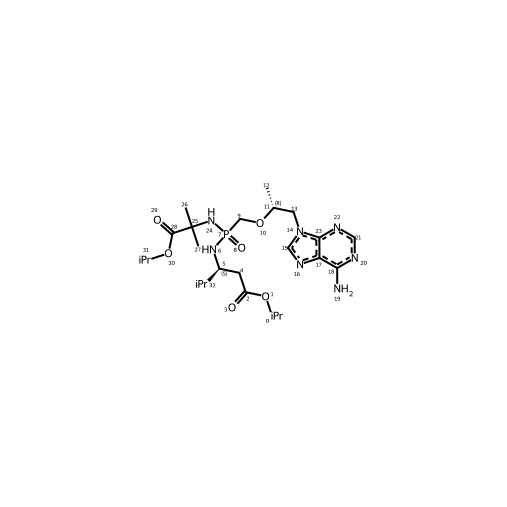 CC(C)OC(=O)C[C@H](NP(=O)(CO[C@H](C)Cn1cnc2c(N)ncnc21)NC(C)(C)C(=O)OC(C)C)C(C)C